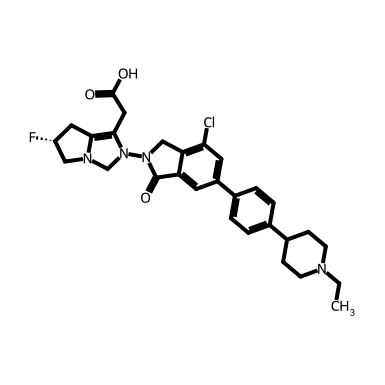 CCN1CCC(c2ccc(-c3cc(Cl)c4c(c3)C(=O)N(N3CN5C[C@H](F)CC5=C3CC(=O)O)C4)cc2)CC1